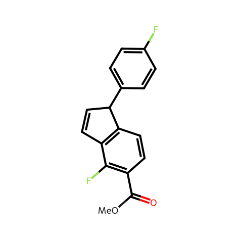 COC(=O)c1ccc2c(c1F)C=CC2c1ccc(F)cc1